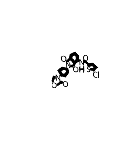 O=C(Nc1cccc2c1C(O)N(c1ccc(N3CCOCC3=O)cc1)C2=O)c1ccc(Cl)s1